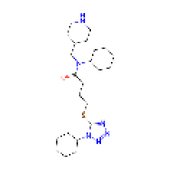 O=C(CCCSc1nnnn1C1CCCCC1)N(CC1CCNCC1)C1CCCCC1